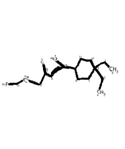 CCC1(CC)CCC(/C(O)=C/C(=O)CCCF)CC1